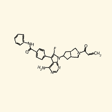 C=CC(=O)N1CC2CC(n3c(F)c(-c4ccc(C(=O)Nc5ccccc5)cc4)c4c(N)ncnc43)CC2C1